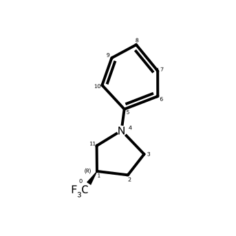 FC(F)(F)[C@@H]1CCN(c2c[c]ccc2)C1